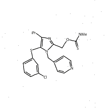 CNC(=S)OCc1nc(C(C)C)c(Sc2cccc(Cl)c2)n1Cc1ccncc1